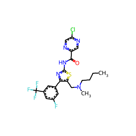 CCCCN(C)Cc1sc(NC(=O)c2cnc(Cl)cn2)nc1-c1cc(F)cc(C(F)(F)F)c1